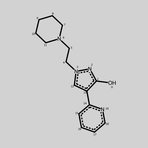 Oc1nn(CCN2CCCCC2)cc1-c1ccccn1